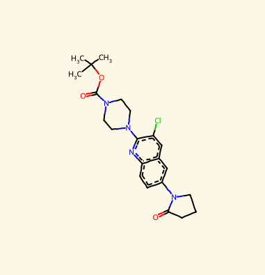 CC(C)(C)OC(=O)N1CCN(c2nc3ccc(N4CCCC4=O)cc3cc2Cl)CC1